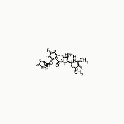 CC1=N/C(=C2\CN(C(=O)c3ccc(F)cc3OC3CC4CCC3N4)CC2=N)NC(C)=C1Cl